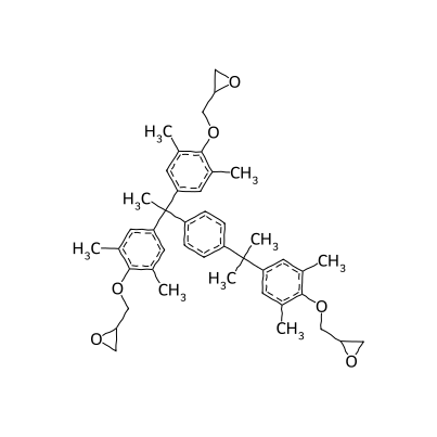 Cc1cc(C(C)(C)c2ccc(C(C)(c3cc(C)c(OCC4CO4)c(C)c3)c3cc(C)c(OCC4CO4)c(C)c3)cc2)cc(C)c1OCC1CO1